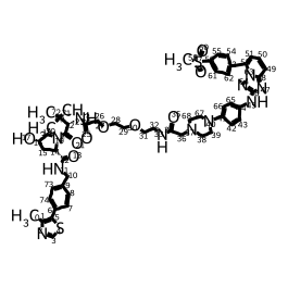 Cc1ncsc1-c1ccc(CNC(=O)[C@@H]2C[C@@H](O)CN2C(=O)[C@@H](NC(=O)COCCOCCNC(=O)CN2CCN(c3ccc(Nc4nc5cccc(-c6ccc(S(C)(=O)=O)cc6)n5n4)cc3)CC2)C(C)(C)C)cc1